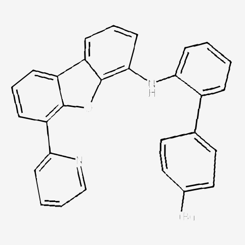 CC(C)(C)c1ccc(-c2ccccc2Nc2cccc3c2oc2c(-c4ccccn4)cccc23)cc1